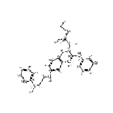 CCOC(=O)[C@H](C)N(Cc1ccc(OCCN(C)c2ccccn2)cc1)C(=O)Oc1ccccc1